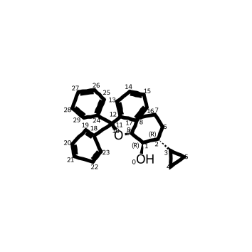 O[C@@H]1[C@@H](C2CC2)CCC[C@H]1OC(c1ccccc1)(c1ccccc1)c1ccccc1